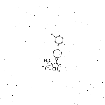 CC(C)(C)C(=O)N1CCC(c2cccc(F)c2)CC1